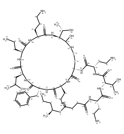 CCC[C@H](C)OC(=O)CCC(=O)N[C@@H](CCN)C(=O)N[C@H](C(=O)N[C@@H](CCN)C(=O)N[C@H]1CCNC(O)[C@H]([C@H](C)O)NC(=O)[C@H](CCCN)NC(=O)[C@H](CCN)NC(=O)[C@H](CC(C)C)NC(=O)[C@@H](Cc2ccccc2)NC(=O)[C@H](CCN)NC1=O)C(C)O